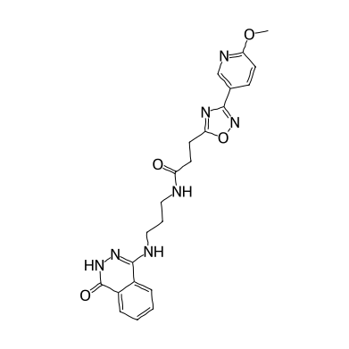 COc1ccc(-c2noc(CCC(=O)NCCCNc3n[nH]c(=O)c4ccccc34)n2)cn1